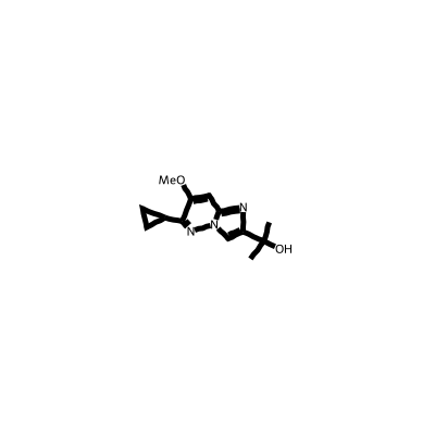 COc1cc2nc(C(C)(C)O)cn2nc1C1CC1